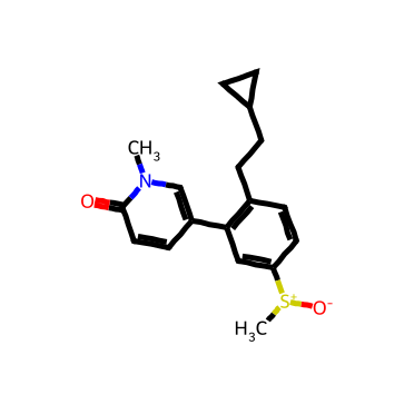 Cn1cc(-c2cc([S+](C)[O-])ccc2CCC2CC2)ccc1=O